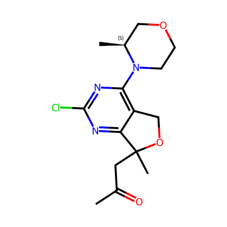 CC(=O)CC1(C)OCc2c(N3CCOC[C@@H]3C)nc(Cl)nc21